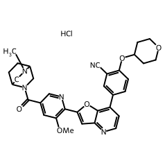 COc1cc(C(=O)N2CC3CCC2CN3C)cnc1-c1cc2nccc(-c3ccc(OC4CCOCC4)c(C#N)c3)c2o1.Cl